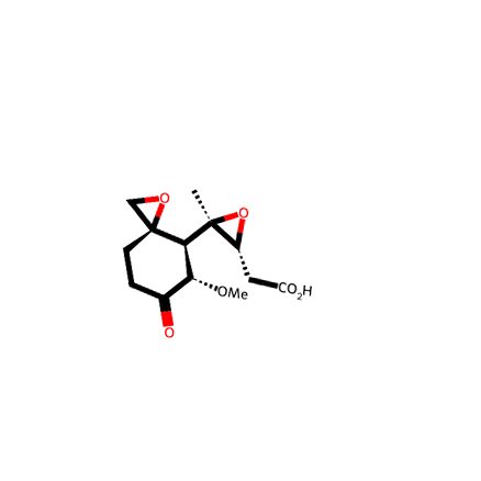 CO[C@@H]1C(=O)CC[C@]2(CO2)[C@H]1[C@@]1(C)O[C@@H]1CC(=O)O